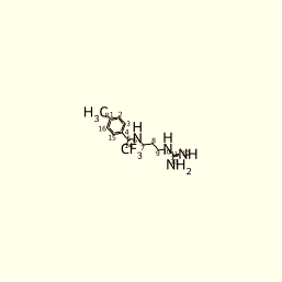 Cc1ccc(C(NCCCNC(=N)N)C(F)(F)F)cc1